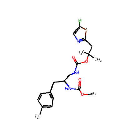 CC(C)(C)OC(=O)N[C@H](CNC(=O)OC(C)(C)Cc1ncc(Br)s1)Cc1ccc(C(F)(F)F)cc1